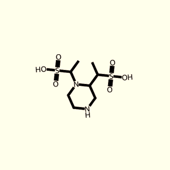 CC(C1CNCCN1C(C)S(=O)(=O)O)S(=O)(=O)O